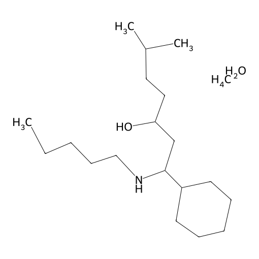 C.CCCCCNC(CC(O)CCC(C)C)C1CCCCC1.O